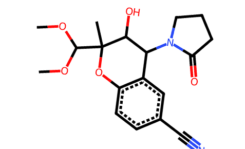 COC(OC)C1(C)Oc2ccc(C#N)cc2C(N2CCCC2=O)C1O